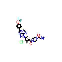 Cc1cc(Nc2nccn3c(-c4ccc(OC(F)F)cc4)cnc23)ccc1C(=O)N1CCN(C(=O)C[N+](C)(C)C)CC1.[Cl-]